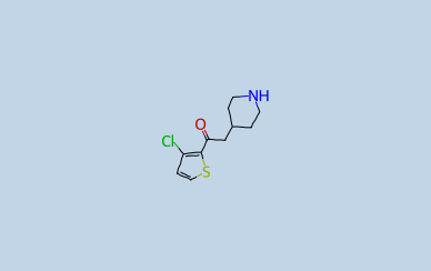 O=C(CC1CCNCC1)c1sccc1Cl